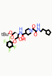 CC(C)(C)OC(=O)C[C@H](NC(=O)C1CCN(C(=O)C(=O)NCCC2CCCC2)CC1)C(O)COc1c(F)c(F)cc(F)c1F